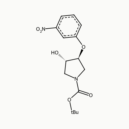 CC(C)(C)OC(=O)N1C[C@H](Oc2cccc([N+](=O)[O-])c2)[C@@H](O)C1